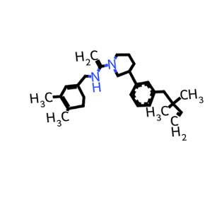 C=CC(C)(C)Cc1cccc(C2CCCN(C(=C)NCC3=CC(C)=C(C)CC3)C2)c1